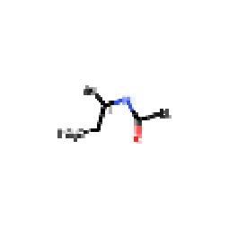 CCC(=O)N[C@@H](CC(=O)O)C(C)=O